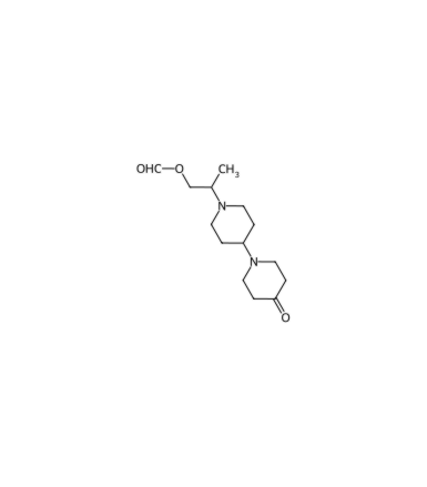 CC(COC=O)N1CCC(N2CCC(=O)CC2)CC1